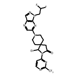 CCC1N(c2ccnc(C(F)(F)F)n2)C(=O)CC12CCN(c1cnc3cnn(CC(F)F)c3n1)CC2